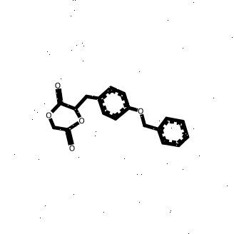 O=C1COC(=O)C(Cc2ccc(OCc3ccccc3)cc2)O1